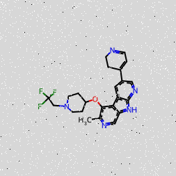 Cc1ncc2[nH]c3ncc(C4=CC=NCC4)cc3c2c1OC1CCN(CC(F)(F)F)CC1